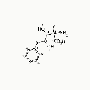 CC(N)(C(=O)O)[C@@H](O)[C@H](O)Cc1ccccc1